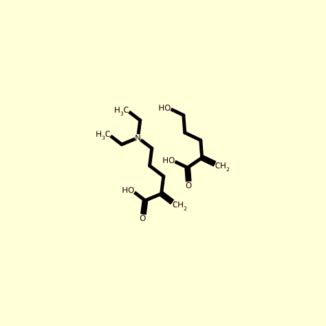 C=C(CCCN(CC)CC)C(=O)O.C=C(CCCO)C(=O)O